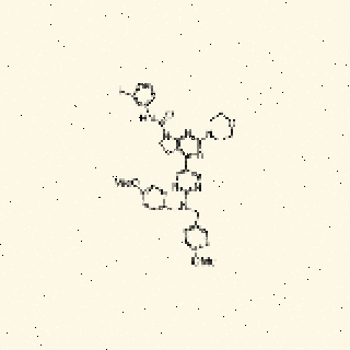 COc1ccc(CN(Cc2ccc(OC)cc2)c2ncc(-c3nc(N4CCOCC4)nc4c3CCN4C(=O)Nc3cccc(I)c3)cn2)cc1